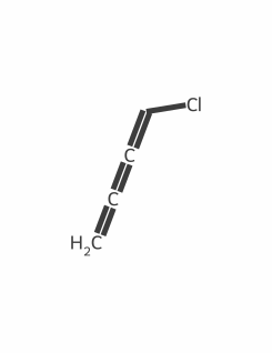 C=C=C=CCl